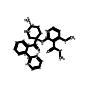 COC(=O)c1c(SC)ccnc1O[C@]1(C(=O)c2ccccc2-c2ncccn2)CC[C@@H](C)NC1